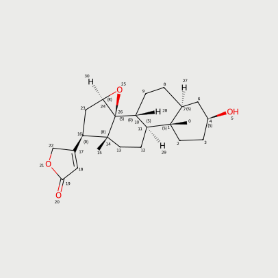 C[C@]12CC[C@H](O)C[C@@H]1CC[C@@H]1[C@@H]2CC[C@]2(C)[C@@H](C3=CC(=O)OC3)C[C@H]3O[C@]132